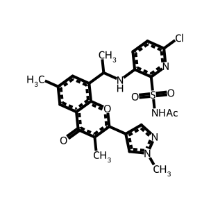 CC(=O)NS(=O)(=O)c1nc(Cl)ccc1NC(C)c1cc(C)cc2c(=O)c(C)c(-c3cnn(C)c3)oc12